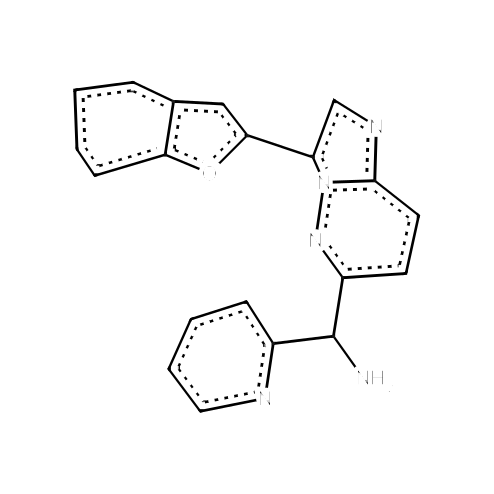 NC(c1ccccn1)c1ccc2ncc(-c3cc4ccccc4o3)n2n1